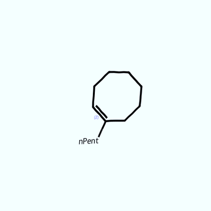 [CH2]CCCC/C1=C/CCCCCC1